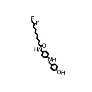 O=C(CCCCCCC[C@H](F)CF)Nc1ccc(NCc2ccc(O)cc2)cc1